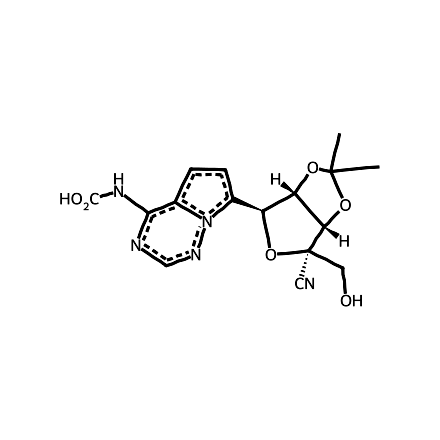 CC1(C)O[C@H]2[C@H](c3ccc4c(NC(=O)O)ncnn34)O[C@](C#N)(CO)[C@H]2O1